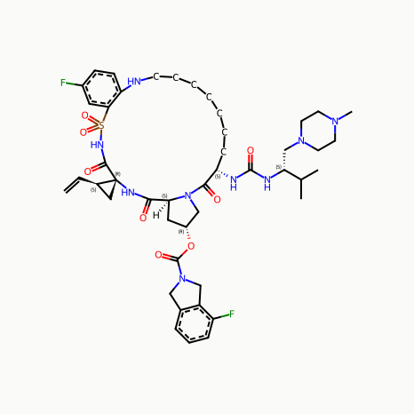 C=C[C@@H]1C[C@@]12NC(=O)[C@@H]1C[C@@H](OC(=O)N3Cc4cccc(F)c4C3)CN1C(=O)[C@@H](NC(=O)N[C@H](CN1CCN(C)CC1)C(C)C)CCCCCCCNc1ccc(F)cc1S(=O)(=O)NC2=O